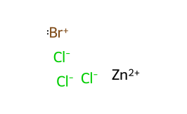 [Br+].[Cl-].[Cl-].[Cl-].[Zn+2]